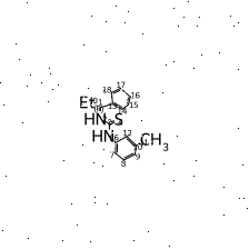 CC[C@@H](NC(=S)Nc1cccc(C)c1)c1ccccc1